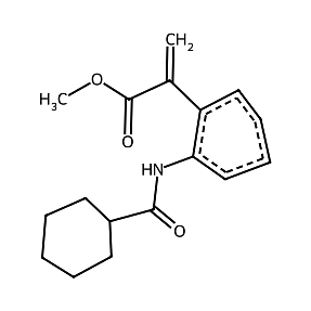 C=C(C(=O)OC)c1ccccc1NC(=O)C1CCCCC1